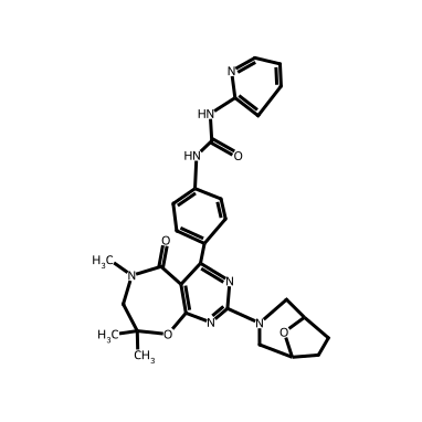 CN1CC(C)(C)Oc2nc(N3CC4CCC(C3)O4)nc(-c3ccc(NC(=O)Nc4ccccn4)cc3)c2C1=O